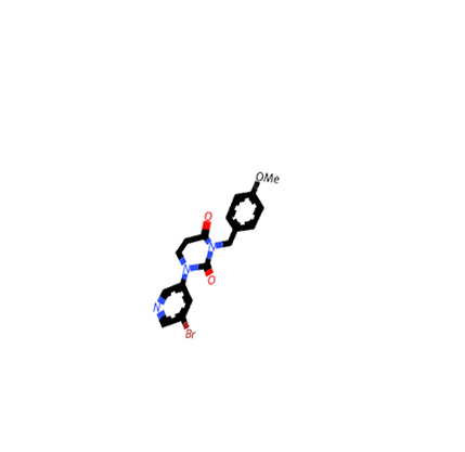 COc1ccc(CN2C(=O)CCN(c3cncc(Br)c3)C2=O)cc1